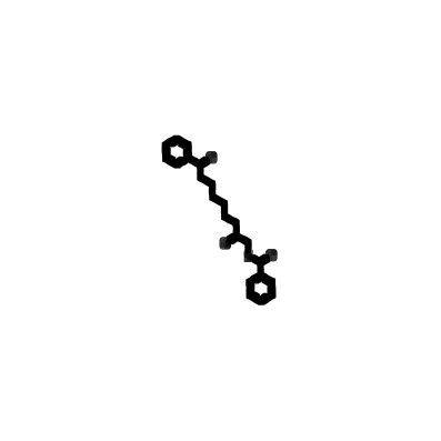 O=C(CCCCCCC(=O)c1ccccc1)CSC(=O)c1ccccc1